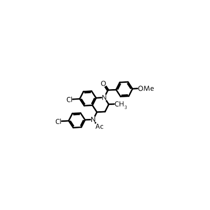 COc1ccc(C(=O)N2c3ccc(Cl)cc3C(N(C(C)=O)c3ccc(Cl)cc3)CC2C)cc1